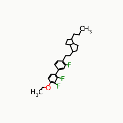 CCCC1CCC2C(CCc3ccc(-c4ccc(OCC)c(F)c4F)cc3F)CCC12